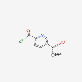 COC(=O)c1ccc(C(=O)Cl)nc1